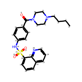 CCCCN1CCN(C(=O)c2ccc(NS(=O)(=O)c3cccc4cccnc34)cc2)CC1